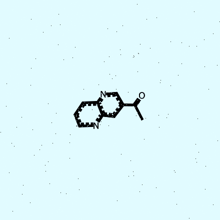 CC(=O)c1cnc2cc[c]nc2c1